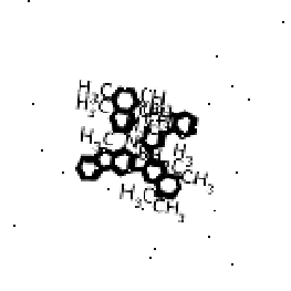 Bc1c2cc3c(c1N(c1cc4c(cc1C)C(C)(C)CCC4(C)C)/C(C#C)=C(/C=C(\C)c1ccccc1C(C)(C)C)c1cc4c(cc1-2)C(C)(C)CCC4(C)C)Cc1ccccc1-3